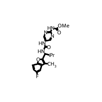 COC(=O)Nc1ncc(NC(=O)NC(c2oc3ccc(F)cc3c2C)C(C)C)cn1